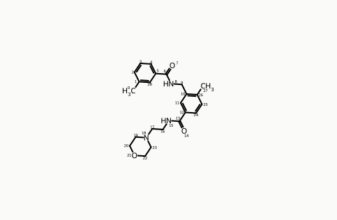 Cc1cccc(C(=O)NCc2cc(C(=O)NCCN3CCOCC3)ccc2C)c1